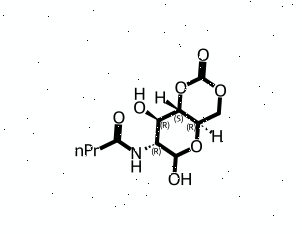 CCCC(=O)N[C@H]1C(O)O[C@@H]2COC(=O)O[C@H]2[C@@H]1O